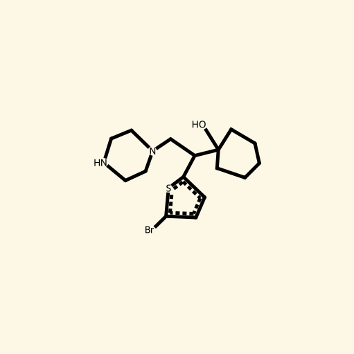 OC1(C(CN2CCNCC2)c2ccc(Br)s2)CCCCC1